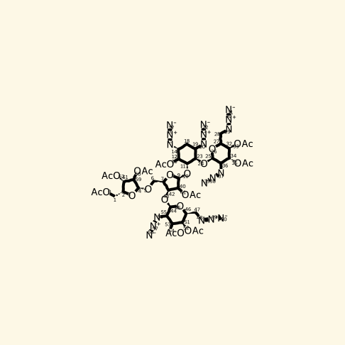 CC(=O)OC[C@H]1O[C@@H](OC[C@H]2O[C@@H](O[C@@H]3C(OC(C)=O)[C@H](N=[N+]=[N-])CC(N=[N+]=[N-])[C@H]3O[C@H]3OC(CN=[N+]=[N-])[C@@H](OC(C)=O)[C@H](OC(C)=O)C3N=[N+]=[N-])C(OC(C)=O)[C@H]2O[C@H]2O[C@@H](CN=[N+]=[N-])[C@@H](OC(C)=O)C(OC(C)=O)C2N=[N+]=[N-])C(OC(C)=O)[C@H]1OC(C)=O